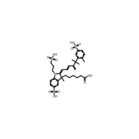 C=C(/C=C/C=C1/N(CCCS(=O)(=O)O)c2ccc(S(=O)(=O)O)cc2C1(C)CCCCCC(=O)O)C(C)(C)c1cc(S(=O)(=O)O)ccc1C